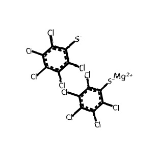 [Mg+2].[S-]c1c(Cl)c(Cl)c(Cl)c(Cl)c1Cl.[S-]c1c(Cl)c(Cl)c(Cl)c(Cl)c1Cl